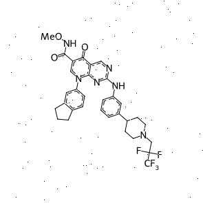 CONC(=O)c1cn(-c2ccc3c(c2)CCC3)c2nc(Nc3cccc(C4CCN(CC(F)(F)C(F)(F)F)CC4)c3)ncc2c1=O